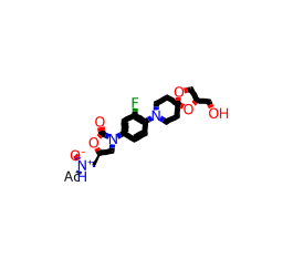 CC(=O)[NH+]([O-])C[C@@H]1CN(c2ccc(N3CCC4(CC3)OCC(CO)O4)c(F)c2)C(=O)O1